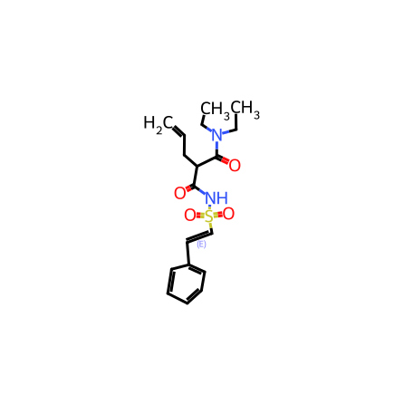 C=CCC(C(=O)NS(=O)(=O)/C=C/c1ccccc1)C(=O)N(CC)CC